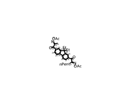 CCCCC/C(=N\OC(C)=O)C(=O)c1ccc2c(c1)C(CC)(CC)c1cc(C(=O)/C(C)=N/OC(C)=O)ccc1-2